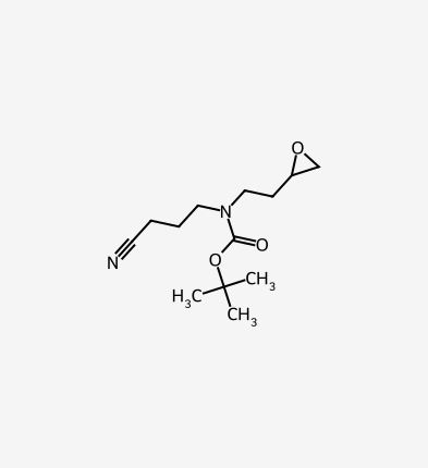 CC(C)(C)OC(=O)N(CCCC#N)CCC1CO1